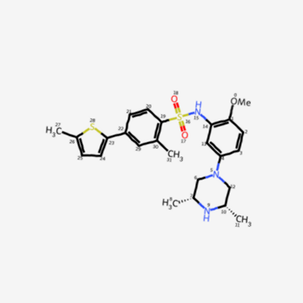 COc1ccc(N2C[C@@H](C)N[C@@H](C)C2)cc1NS(=O)(=O)c1ccc(-c2ccc(C)s2)cc1C